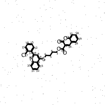 O=C(OCCCCSc1cc(-c2ccccc2Cl)nc2ccccc12)c1cc2ccccc2oc1=O